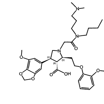 CCCCN(CCCN(C)C)C(=O)CN1C[C@H](c2cc(OC)c3c(c2)OCO3)[C@@H](C(=O)O)[C@@H]1CCOc1ccccc1OC